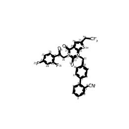 N#Cc1ccccc1-c1ccc(Cn2c(=O)n(CC(=O)c3ccc(F)cc3F)c(=O)c3cc(CC(F)(F)F)sc32)cc1